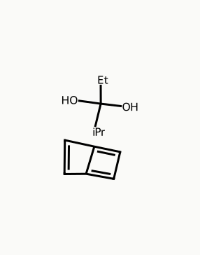 CCC(O)(O)C(C)C.c1cc2ccc1-2